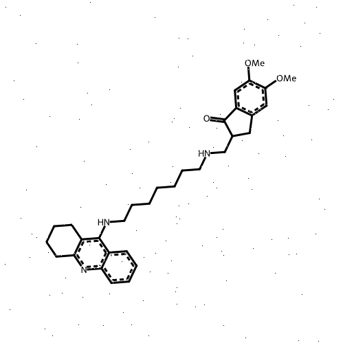 COc1cc2c(cc1OC)C(=O)C(CNCCCCCCCNc1c3c(nc4ccccc14)CCCC3)C2